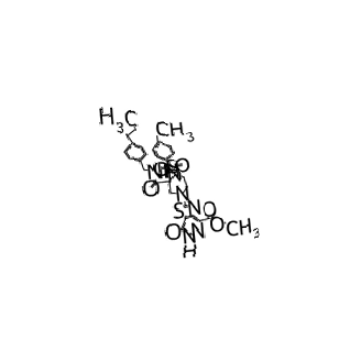 CCCc1ccc(CNC(=O)C2CN(c3nc4c(C(=O)OCC)n[nH]c(=O)c4s3)CCN2S(=O)(=O)c2ccc(CC)cc2)cc1